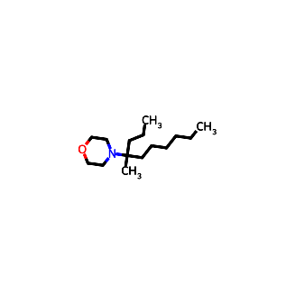 CCCCCCC(C)(CCC)N1CCOCC1